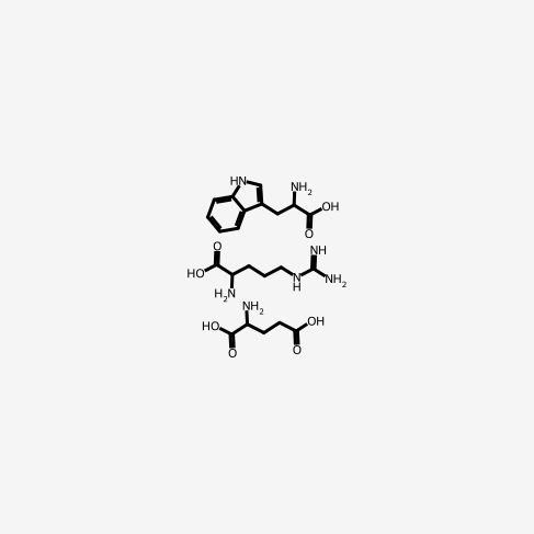 N=C(N)NCCCC(N)C(=O)O.NC(CCC(=O)O)C(=O)O.NC(Cc1c[nH]c2ccccc12)C(=O)O